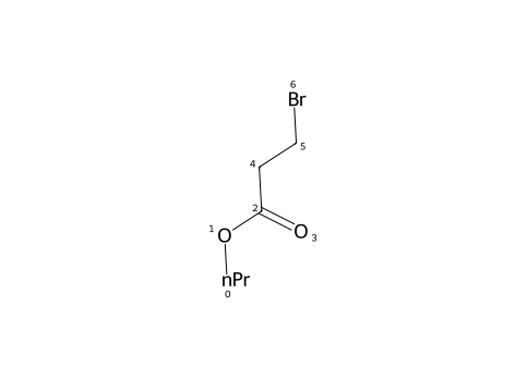 CCCOC(=O)CCBr